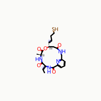 C/C=C1\NC(=O)c2cccc(n2)CNC(=O)C[C@@H](/C=C/CCS)OC(=O)[C@H](C)NC1=O